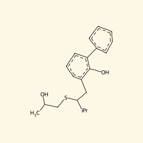 CC(O)CSC(Cc1cccc(-c2ccccc2)c1O)C(C)C